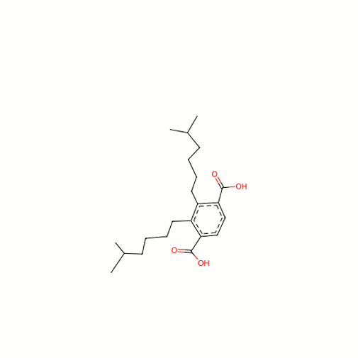 CC(C)CCCCc1c(C(=O)O)ccc(C(=O)O)c1CCCCC(C)C